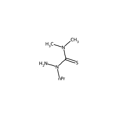 CCCN(N)C(=S)N(C)C